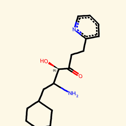 NC(CC1CCCCC1)[C@@H](O)C(=O)CCc1ccccn1